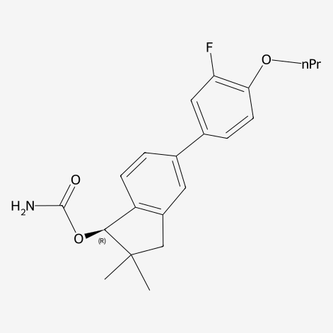 CCCOc1ccc(-c2ccc3c(c2)CC(C)(C)[C@H]3OC(N)=O)cc1F